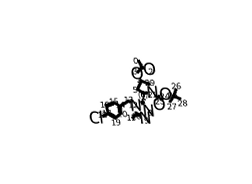 CC(=O)OC1C[C@H](c2nnc(C)n2Cc2ccc(Cl)cc2)N(C(=O)OC(C)(C)C)C1